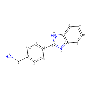 NCc1ccc(-c2nc3ccccc3[nH]2)cc1